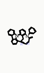 C=C1/C=C\C=C2/Cc3c(cccc3-n3c4ccccc4c4cccc2c43)N1c1ccccc1